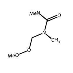 CNC(=O)N(C)COOC